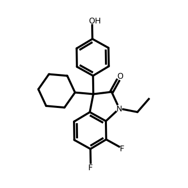 CCN1C(=O)C(c2ccc(O)cc2)(C2CCCCC2)c2ccc(F)c(F)c21